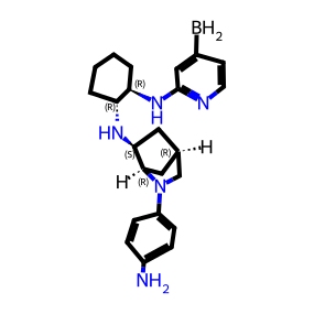 Bc1ccnc(N[C@@H]2CCCC[C@H]2N[C@H]2C[C@@H]3C[C@H]2N(c2ccc(N)cc2)C3)c1